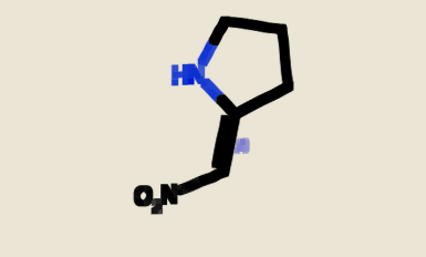 O=[N+]([O-])/C=C1/CCCN1